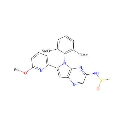 CCOc1cccc(-c2cc3ncc(N[S+](C)[O-])nc3n2-c2c(OC)cccc2OC)n1